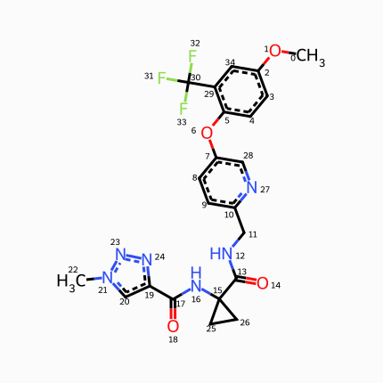 COc1ccc(Oc2ccc(CNC(=O)C3(NC(=O)c4cn(C)nn4)CC3)nc2)c(C(F)(F)F)c1